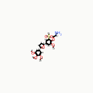 COc1cc([C@@H]2CC[C@@H](c3cc(OC)c(OCCN)c(S(C)(=O)=O)c3)O2)cc(OC)c1OC